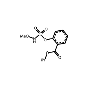 CONS(=O)(=O)Oc1ccccc1C(=O)OC(C)C